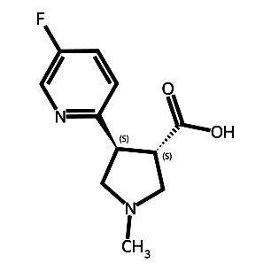 CN1C[C@@H](C(=O)O)[C@H](c2ccc(F)cn2)C1